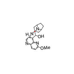 COc1ccc2nccc(C(O)CN3C4CCC3CC(N)C4)c2n1